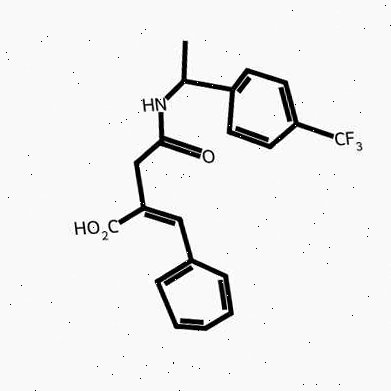 CC(NC(=O)C/C(=C/c1ccccc1)C(=O)O)c1ccc(C(F)(F)F)cc1